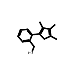 CC1=C(C)C(C)=C(c2ccccc2CO)C1